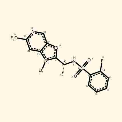 CCn1c([C@@H](C)NS(=O)(=O)c2ccccc2F)nc2cnc(C(F)(F)F)cc21